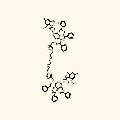 CCc1cc(C)cc(CP)c1S(=O)(=O)OC[C@H]1O[C@@H](OCc2cn(CCOCCOCCn3cc(CO[C@@H]4O[C@H](COS(=O)(=O)c5c(C)cc(C)cc5PC)C(OC(=O)c5ccccc5)[C@H](OC(=O)c5ccccc5)[C@@H]4OC(=O)c4ccccc4)nn3)nn2)[C@@H](OC(=O)c2ccccc2)[C@@H](OC(=O)c2ccccc2)C1OC(=O)c1ccccc1